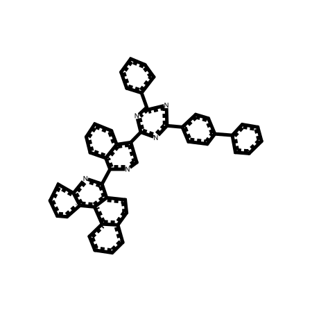 c1ccc(-c2ccc(-c3nc(-c4ccccc4)nc(-c4cnc(-c5nc6ccccc6c6c5ccc5ccccc56)c5ccccc45)n3)cc2)cc1